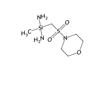 C[Si](N)(N)CS(=O)(=O)N1CCOCC1